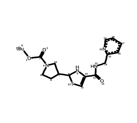 CC(C)(C)OC(=O)N1CCC(C2NC(C(=O)NCc3ccccn3)=CS2)C1